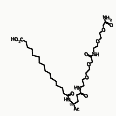 CC(=O)[C@H](CCC(=O)NCCOCCOCC(=O)NCCOCCOCC(N)=O)NC(=O)CCCCCCCCCCCCCCC(=O)O